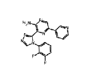 Nc1ncc(-c2cccnc2)nc1-c1nncn1-c1cccc(F)c1F